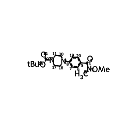 CON(C)C(=O)c1ccc(N2CCN(C(=O)OC(C)(C)C)CC2)cc1